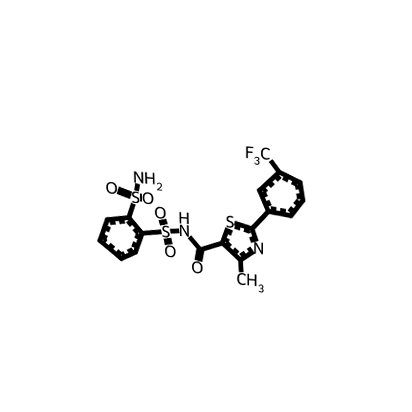 Cc1nc(-c2cccc(C(F)(F)F)c2)sc1C(=O)NS(=O)(=O)c1ccccc1S(N)(=O)=O